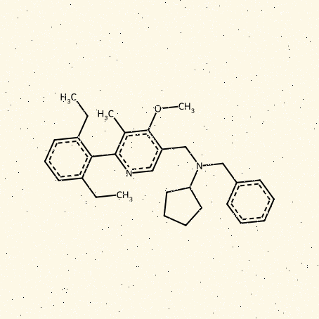 CCc1cccc(CC)c1-c1ncc(CN(Cc2ccccc2)C2CCCC2)c(OC)c1C